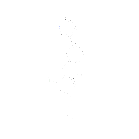 O=C(O)COc1cc(Cl)c(Cc2ccc(O)c(-c3cccnc3)c2)c(Cl)c1